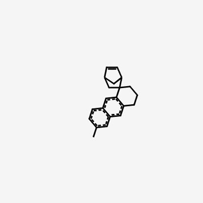 Cc1ccc2cc3c(cc2c1)CCCC31CC2C=CC1C2